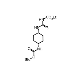 CCOC(=O)NC(=S)N[C@H]1CC[C@H](NC(=O)OC(C)(C)C)CC1